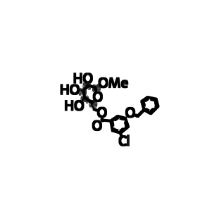 CO[C@@H]1O[C@H](COC(=O)c2cc(Cl)cc(OCc3ccccc3)c2)[C@@H](O)[C@H](O)[C@H]1O